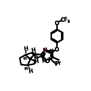 Cc1nnc(N2C[C@H]3CC[C@@H](C2)[C@@H]3Nc2nc(Oc3ccc(OC(F)(F)F)cc3)n(C(C)C)n2)o1